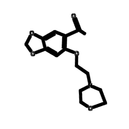 CC(=O)c1cc2c(cc1OCCN1CCOCC1)OCO2